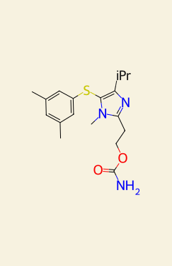 Cc1cc(C)cc(Sc2c(C(C)C)nc(CCOC(N)=O)n2C)c1